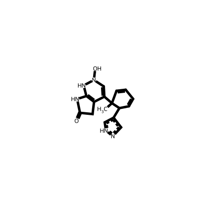 CC1(C2=CN(O)NC3=C2CC(=O)N3)C=CC=CC1c1cn[nH]c1